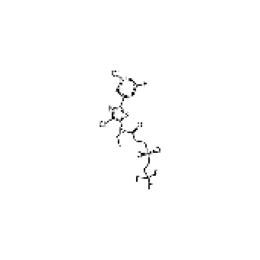 CCN(C(=O)CCS(=O)(=O)CCC(F)(F)F)c1sc(-c2cc(F)c[n+]([O-])c2)nc1Cl